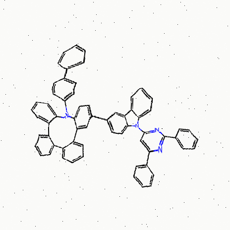 c1ccc(-c2ccc(-n3c4ccccc4c4ccccc4c4ccccc4c4cc(-c5ccc6c(c5)c5ccccc5n6-c5cc(-c6ccccc6)nc(-c6ccccc6)n5)ccc43)cc2)cc1